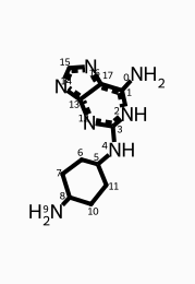 Nc1[nH]c(NC2CCC(N)CC2)nc2ncnc1-2